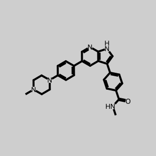 CNC(=O)c1ccc(-c2c[nH]c3ncc(-c4ccc(N5CCN(C)CC5)cc4)cc23)cc1